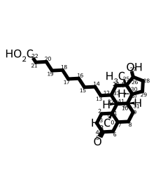 C[C@]12CCC(=O)CC1CC[C@@H]1[C@H]2C(CCCCCCCCCC(=O)O)C[C@]2(C)C(O)CC[C@@H]12